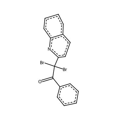 O=C(c1ccccc1)C(Br)(Br)c1ccc2ccccc2n1